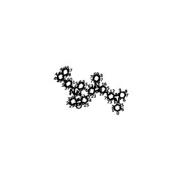 c1ccc(-n2c3ccccc3c3cc(-c4ccc5c(c4)c4cc(-c6ccc7oc8cccc(-c9nc(-c%10ccc(-c%11cccc%12ccccc%11%12)cc%10)c%10ccccc%10n9)c8c7c6)ccc4n5-c4ccccc4)ccc32)cc1